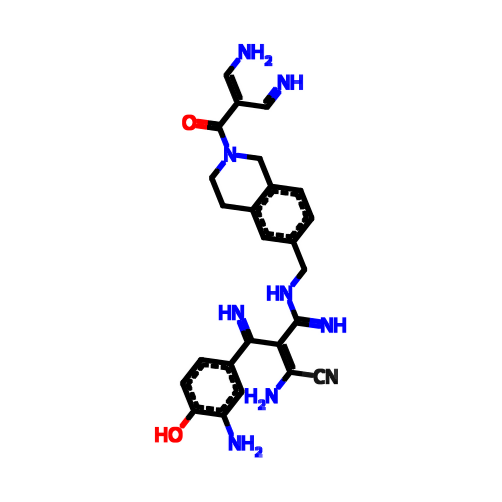 N#C/C(N)=C(\C(=N)NCc1ccc2c(c1)CCN(C(=O)/C(C=N)=C/N)C2)C(=N)c1ccc(O)c(N)c1